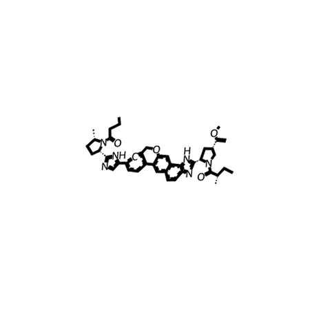 C=C(OC)[C@H]1C[C@@H](c2nc3ccc4cc5c(cc4c3[nH]2)OCc2cc(-c3cnc([C@@H]4CC[C@H](C)N4C(=O)CCC)[nH]3)ccc2-5)N(C(=O)[C@@H](C)CC)C1